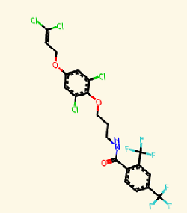 O=C(NCCCOc1c(Cl)cc(OCC=C(Cl)Cl)cc1Cl)c1ccc(C(F)(F)F)cc1C(F)(F)F